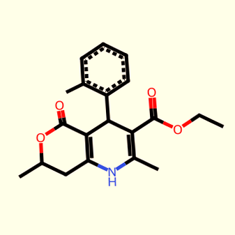 CCOC(=O)C1=C(C)NC2=C(C(=O)OC(C)C2)C1c1ccccc1C